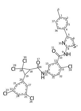 Cc1ccc(-c2csc(NC(=O)c3cc(NC(=O)C4C(c5cc(Cl)cc(Cl)c5)C4(Cl)Cl)ccc3Cl)n2)cc1